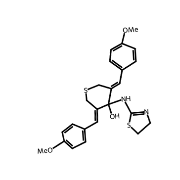 COc1ccc(C=C2CSCC(=Cc3ccc(OC)cc3)C2(O)NC2=NCCS2)cc1